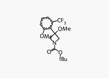 COc1cccc(C(F)(F)F)c1C1(OC)CN(C(=O)OC(C)(C)C)C1